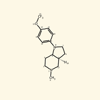 CN1CCC2[C@@H](CCN2c2ccc(OC(F)(F)F)cc2)C1